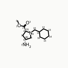 COC(=O)[C@@H]1C[C@@H](N)CN1CC1CCCCC1